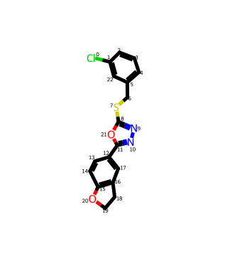 Clc1cccc(CSc2nnc(-c3ccc4c(c3)CCO4)o2)c1